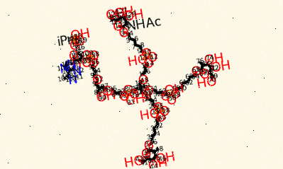 CC(=O)NC1[C@H](OCCCCCCOP(=O)(O)OCCCOCC(COCCCOP(=O)(O)OCCCCCCO[C@@H]2OC(CO)[C@H](O)[C@H](O)C2C)(COCCCOP(=O)(O)OCCCCCCO[C@@H]2OC(CO)[C@H](O)[C@H](O)C2C)COP(=O)(O)OCCCOCC(CO)COCCCOP(=O)(O)O[C@H]2C[C@H](n3cnc4c(C)ncnc43)O[C@@H]2COP(=O)(O)C(C)C)OC(CO)[C@H](O)[C@@H]1O